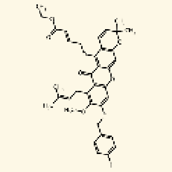 CCOC(=O)/C=C/COc1c2c(cc3oc4cc(OCc5ccc(F)cc5)c(OC)c(CC=C(C)C)c4c(=O)c13)OC(C)(C)C=C2